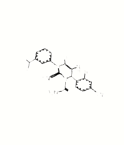 CC1=C(N)C(c2ccc(C#N)cc2Br)N(C(N)=O)C(=N)N1c1cccc(C(F)F)c1